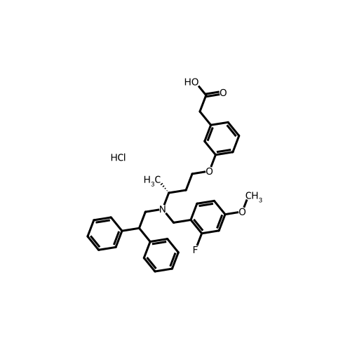 COc1ccc(CN(CC(c2ccccc2)c2ccccc2)[C@H](C)CCOc2cccc(CC(=O)O)c2)c(F)c1.Cl